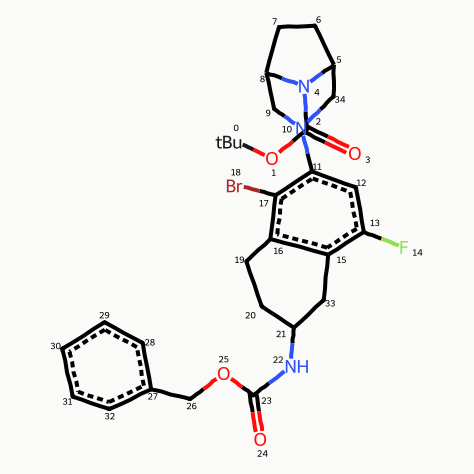 CC(C)(C)OC(=O)N1C2CCC1CN(c1cc(F)c3c(c1Br)CCC(NC(=O)OCc1ccccc1)C3)C2